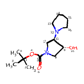 CC(C)(C)OC(=O)N1C[C@@H](O)[C@H](N2CCCC2)C1